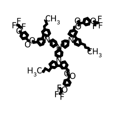 CCCCc1ccc2c(c1)c1cc(COC(=O)c3ccc(OC(F)=C(F)F)cc3)ccc1n2-c1ccc(N(c2ccc(-n3c4ccc(CCCC)cc4c4cc(COC(=O)c5ccc(OC(F)=C(F)F)cc5)ccc43)cc2)c2ccc(-n3c4ccc(CCCC)cc4c4cc(COC(=O)c5ccc(OC(F)=C(F)F)cc5)ccc43)cc2)cc1